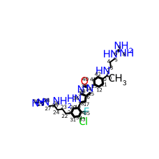 C[C@H](NCCCNC(=N)N)c1ccc(-n2cc3cc(-c4cc(CCC[C@@H](N)CN=[N+]=[N-])cc(Cl)c4F)[nH]c3nc2=O)cc1